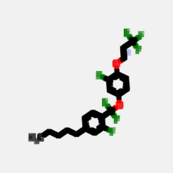 CCCCCc1ccc(C(F)(F)Oc2ccc(O/C=C/C(F)(F)F)c(F)c2)c(F)c1